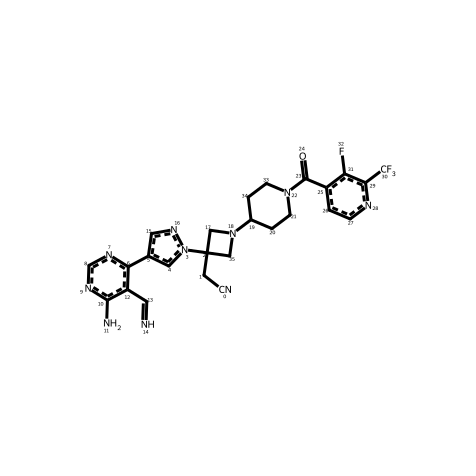 N#CCC1(n2cc(-c3ncnc(N)c3C=N)cn2)CN(C2CCN(C(=O)c3ccnc(C(F)(F)F)c3F)CC2)C1